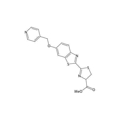 COC(=O)C1CSC(c2nc3ccc(OCc4ccncc4)cc3s2)=N1